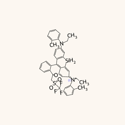 CCN(c1ccc2c(c1)[SiH2]C1=C/C(=[N+](\CC)c3ccccc3C)C=CC1=C2c1ccccc1C(=O)CS(=O)(=O)C(F)(F)F)c1ccccc1C